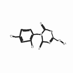 CCOc1nc(=O)n(-c2ccc(Cl)cc2Cl)c(=O)[nH]1